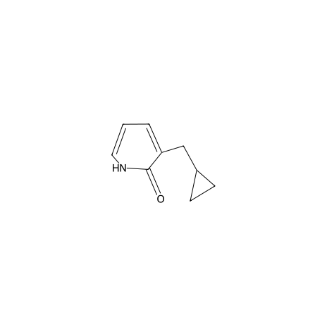 O=c1[nH]cccc1CC1CC1